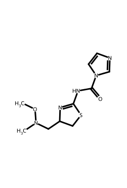 CON(C)CC1CSC(NC(=O)n2ccnc2)=N1